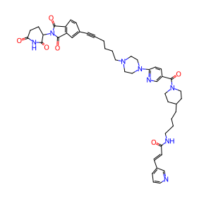 O=C(/C=C/c1cccnc1)NCCCCC1CCN(C(=O)c2ccc(N3CCN(CCCCC#Cc4ccc5c(c4)C(=O)N(C4CCC(=O)NC4=O)C5=O)CC3)nc2)CC1